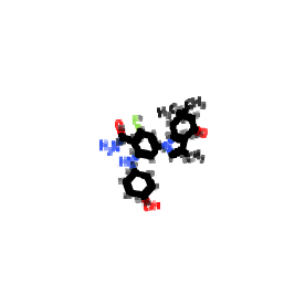 Cc1cn(-c2cc(F)c(C(N)=O)c(NC3CCC(O)CC3)c2)c2c1C(=O)CC(C)(C)C2